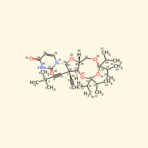 C#C[C@]1(C#C[Si](C)(C)C)[C@@H]2O[Si](C(C)C)(C(C)C)O[Si](C(C)C)(C(C)C)OC[C@H]2O[C@H]1n1ccc(=O)[nH]c1=O